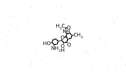 CC(=O)Nc1cc(C)cc2c(=O)c(O)c(-c3ccc(O)c(N)c3)oc12